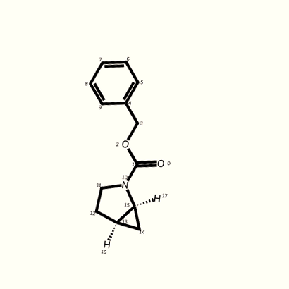 O=C(OCc1ccccc1)N1CC[C@@H]2C[C@@H]21